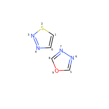 c1csnn1.c1nnco1